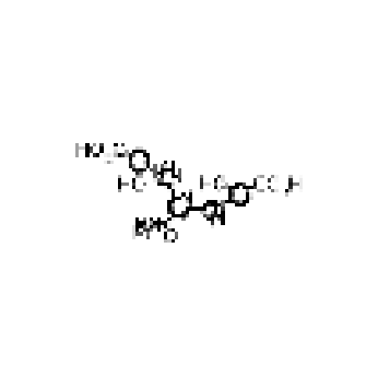 CCNC(=O)c1cc(-c2cn(-c3ccc(C(=O)O)cc3O)nn2)nc(-c2cn(-c3ccc(C(=O)O)cc3O)nn2)c1